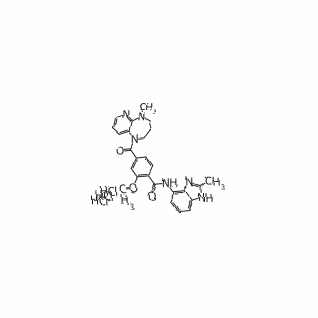 COc1cc(C(=O)N2CCCN(C)c3ncccc32)ccc1C(=O)Nc1cccc2[nH]c(C)nc12.Cl.Cl.Cl